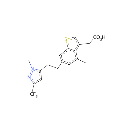 Cc1cc(CCc2cc(C(F)(F)F)nn2C)cc2scc(CC(=O)O)c12